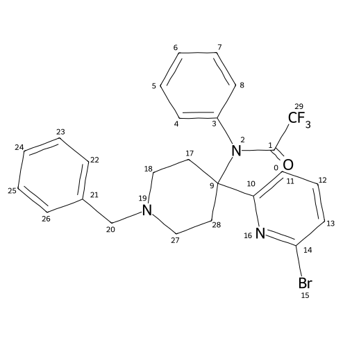 O=C(N(c1ccccc1)C1(c2cccc(Br)n2)CCN(Cc2ccccc2)CC1)C(F)(F)F